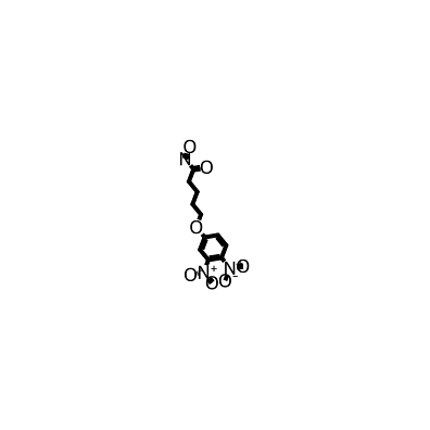 O=NC(=O)CCCCOc1ccc([N+](=O)[O-])c([N+](=O)[O-])c1